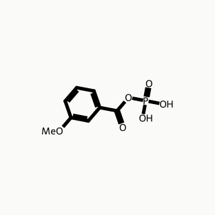 COc1cccc(C(=O)OP(=O)(O)O)c1